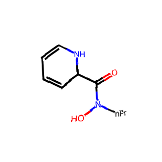 CCCN(O)C(=O)C1C=CC=CN1